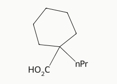 CCCC1(C(=O)O)CCCCC1